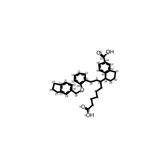 O=C(O)CCCCCC(CCc1ccccc1OCc1ccc2c(c1)CCC2)C1CCCc2cc(C(=O)O)ccc21